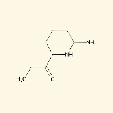 CCC(=O)C1C[CH]CC(N)N1